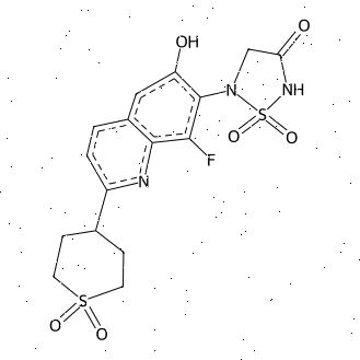 O=C1CN(c2c(O)cc3ccc(C4CCS(=O)(=O)CC4)nc3c2F)S(=O)(=O)N1